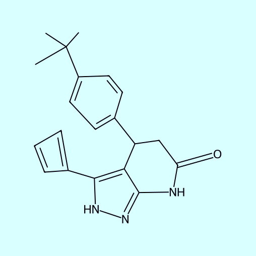 CC(C)(C)c1ccc(C2CC(=O)Nc3n[nH]c(C4=CC=C4)c32)cc1